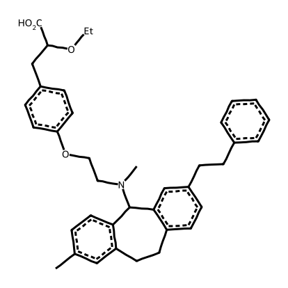 CCOC(Cc1ccc(OCCN(C)C2c3ccc(C)cc3CCc3ccc(CCc4ccccc4)cc32)cc1)C(=O)O